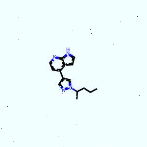 CCCC(C)n1cc(-c2ccnc3[nH]ccc23)cn1